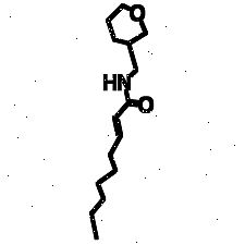 CCCCCC/C=C/C(=O)NCC1CCCOC1